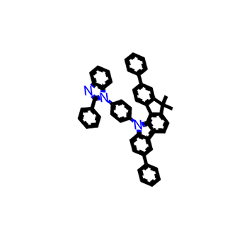 CC1(C)c2cc(-c3ccccc3)ccc2-c2c1ccc1c3cc(-c4ccccc4)ccc3n(-c3ccc(-n4c(-c5ccccc5)nc5ccccc54)cc3)c21